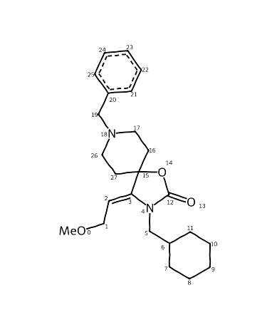 COCC=C1N(CC2CCCCC2)C(=O)OC12CCN(Cc1ccccc1)CC2